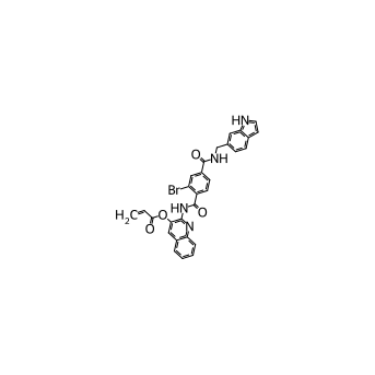 C=CC(=O)Oc1cc2ccccc2nc1NC(=O)c1ccc(C(=O)NCc2ccc3cc[nH]c3c2)cc1Br